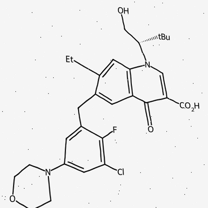 CCc1cc2c(cc1Cc1cc(N3CCOCC3)cc(Cl)c1F)c(=O)c(C(=O)O)cn2[C@H](CO)C(C)(C)C